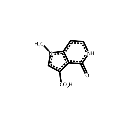 Cn1cc(C(=O)O)c2c(=O)[nH]ccc21